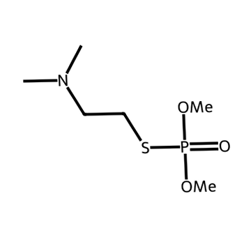 COP(=O)(OC)SCCN(C)C